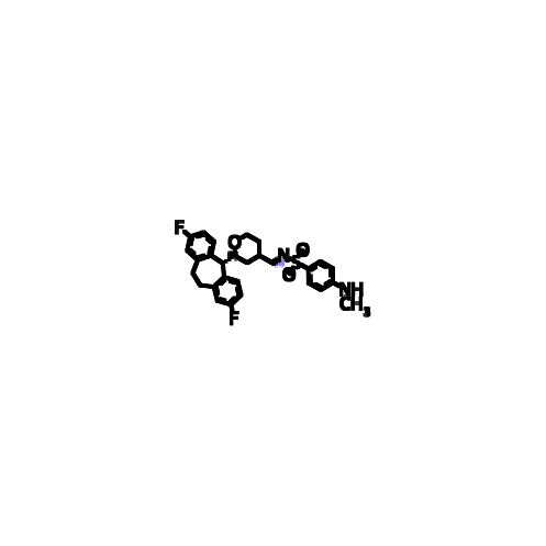 CNc1ccc(S(=O)(=O)/N=C/C2CCO[C@@H](C3c4ccc(F)cc4CCc4cc(F)ccc43)C2)cc1